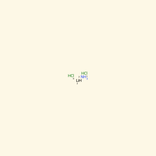 Cl.Cl.N.[LiH]